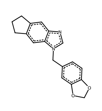 c1cc2c(cc1Cn1cnc3cc4c(cc31)CCC4)OCO2